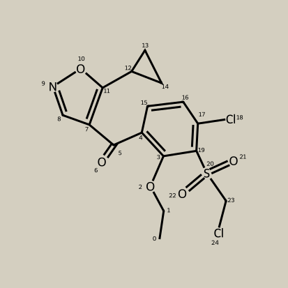 CCOc1c(C(=O)c2cnoc2C2CC2)ccc(Cl)c1S(=O)(=O)CCl